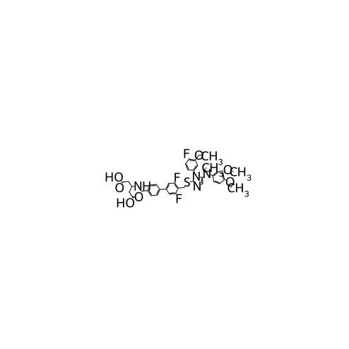 COc1cc(-n2c(N(C)c3ccc(OC)c(OC)c3)cnc2SCc2c(F)cc(-c3ccc(CNC(CC(=O)O)CC(=O)O)cc3)cc2F)ccc1F